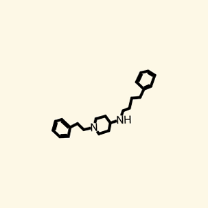 c1ccc(CCCCNC2CCN(CCc3ccccc3)CC2)cc1